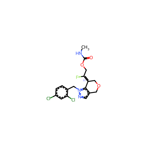 CNC(=O)OC/C(F)=C1\COCc2cnn(Cc3ccc(Cl)cc3Cl)c21